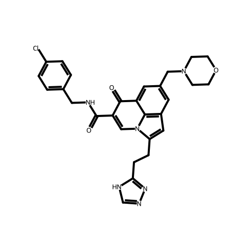 O=C(NCc1ccc(Cl)cc1)c1cn2c(CCc3nnc[nH]3)cc3cc(CN4CCOCC4)cc(c1=O)c32